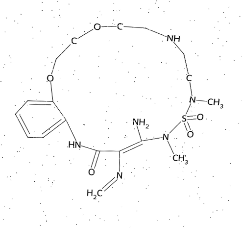 C=N/C1=C(/N)N(C)S(=O)(=O)N(C)CCNCCOCCOc2ccccc2NC1=O